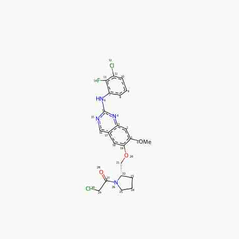 COc1cc2nc(Nc3cccc(Cl)c3F)ncc2cc1OC[C@@H]1CCCN1C(=O)CCl